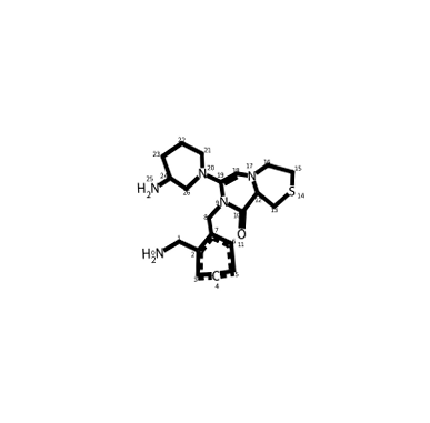 NCc1ccccc1CN1C(=O)C2CSCCN2C=C1N1CCCC(N)C1